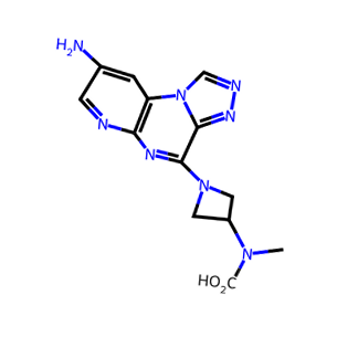 CN(C(=O)O)C1CN(c2nc3ncc(N)cc3n3cnnc23)C1